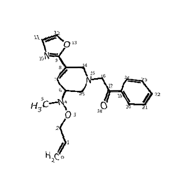 C=CCON(C)C1C=C(c2ncco2)CN(CC(=O)c2ccccc2)C1